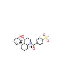 CS(=O)(=O)c1ccc(C(=O)N2CC[C@@](O)(c3ccccc3)[C@@H]3CCCC[C@@H]32)cc1